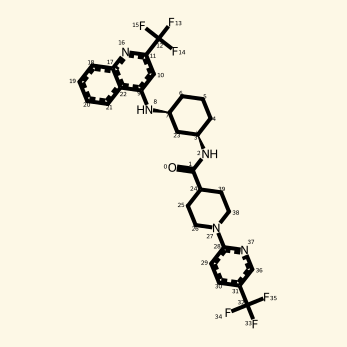 O=C(N[C@@H]1CCC[C@H](Nc2cc(C(F)(F)F)nc3ccccc23)C1)C1CCN(c2ccc(C(F)(F)F)cn2)CC1